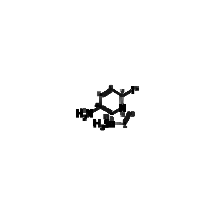 C=[CH][SnH3].Nc1ccc(I)nc1